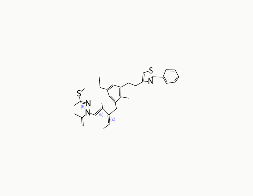 C=C(C)N(/C=C(C)/C(=C\C)Cc1cc(CC)cc(CCc2csc(-c3ccccc3)n2)c1C)/N=C(\C)SC